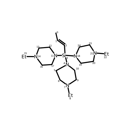 CC=C[Si](N1CCN(CC)CC1)(N1CCN(CC)CC1)N1CCN(CC)CC1